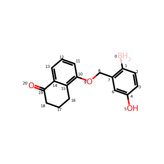 Bc1ccc(O)cc1COc1cccc2c1CCCC2=O